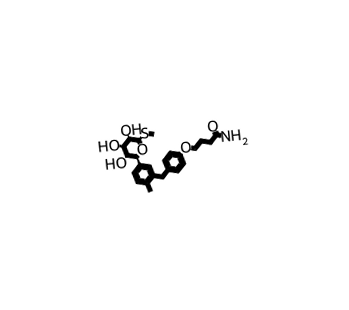 CS[C@H]1O[C@@H](c2ccc(C)c(Cc3ccc(OCCCC(N)=O)cc3)c2)[C@H](O)[C@@H](O)[C@@H]1O